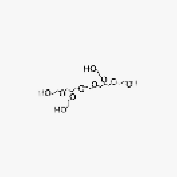 OCCOCC(COCCOCC(COCCO)OCCO)OCCO